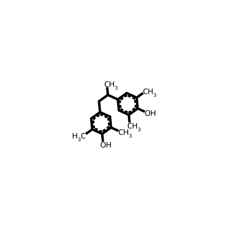 Cc1cc(CC(C)c2cc(C)c(O)c(C)c2)cc(C)c1O